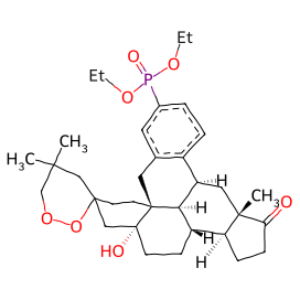 CCOP(=O)(OCC)c1ccc2c(c1)C[C@]13CCC4(CC(C)(C)COO4)C[C@]1(O)CC[C@@H]1[C@@H]3[C@@H]2C[C@]2(C)C(=O)CC[C@@H]12